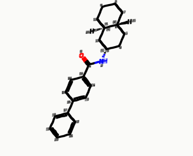 O=C(N[C@H]1CC[C@H]2CCCC[C@@H]2C1)c1ccc(-c2ccccc2)cc1